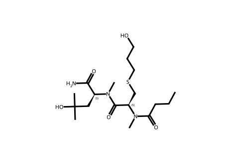 CCCC(=O)N(C)[C@H](CSCCCO)C(=O)N(C)[C@@H](CC(C)(C)O)C(N)=O